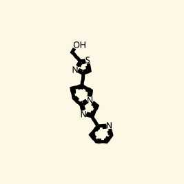 OCc1nc(-c2ccc3nc(-c4ccccn4)cn3c2)cs1